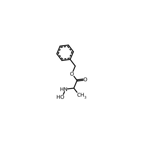 CC(NO)C(=O)OCc1ccccc1